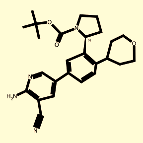 CC(C)(C)OC(=O)N1CCC[C@H]1c1cc(-c2cnc(N)c(C#N)c2)ccc1C1CCOCC1